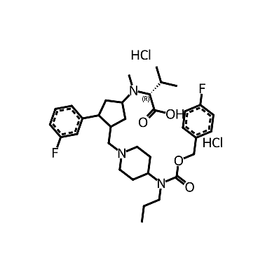 CCCN(C(=O)OCc1ccc(F)cc1)C1CCN(CC2CC(N(C)[C@@H](C(=O)O)C(C)C)CC2c2cccc(F)c2)CC1.Cl.Cl